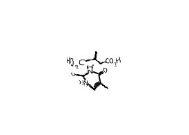 C=C(CC(=O)O)C(=O)O.Cc1c[nH]c(=O)[nH]c1=O